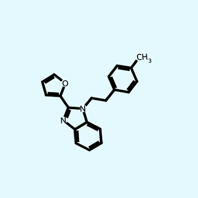 Cc1ccc(CCn2c(-c3ccco3)nc3ccccc32)cc1